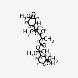 CC(CC(=O)OC(C)(C)C1CCCC(C)(O)C1)C(=O)OC(C)(C)C1CCC2(C)OC2C1